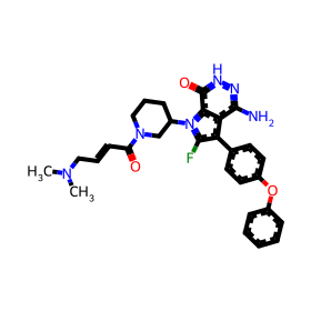 CN(C)C/C=C/C(=O)N1CCCC(n2c(F)c(-c3ccc(Oc4ccccc4)cc3)c3c(N)n[nH]c(=O)c32)C1